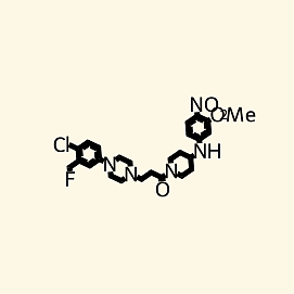 COc1cc(NC2CCN(C(=O)CCN3CCN(c4ccc(Cl)c(CF)c4)CC3)CC2)ccc1[N+](=O)[O-]